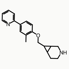 Cc1cc(-c2ccccn2)ccc1OCC1C2CCNCC21